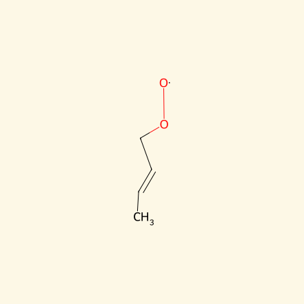 CC=CCO[O]